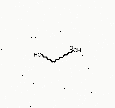 O=C(O)CCCCCCCC/C=C\CCCCCO